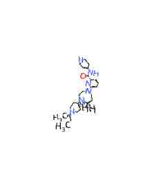 [2H]C1([2H])CCN(c2cccc(C(=O)Nc3ccncc3)n2)CCN1C1CCN([C@H](C)CC)CC1